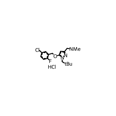 CNCc1cc(OCc2cc(Cl)ccc2F)n(CC(C)(C)C)n1.Cl